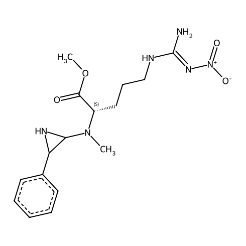 COC(=O)[C@H](CCCNC(N)=N[N+](=O)[O-])N(C)C1NC1c1ccccc1